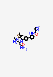 Cc1sc2c(c1C)C(c1ccc(-c3cccc(NC(=O)c4ccn(C)n4)c3)cc1)=N[C@@H](CC(N)=O)c1nnc(C)n1-2